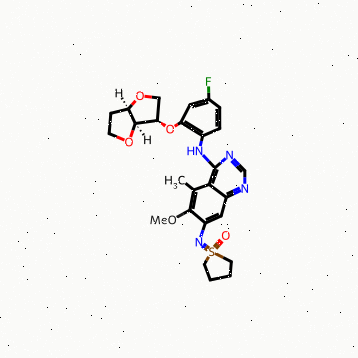 COc1c(N=S2(=O)CCCC2)cc2ncnc(Nc3ccc(F)cc3O[C@@H]3CO[C@@H]4CCO[C@@H]43)c2c1C